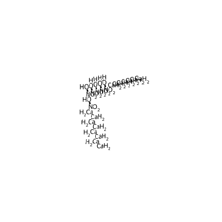 O=[N+]([O-])O.O=[N+]([O-])O.O=[N+]([O-])O.O=[N+]([O-])O.O=[N+]([O-])O.O=[N+]([O-])O.[CaH2].[CaH2].[CaH2].[CaH2].[CaH2].[CaH2].[CaH2].[CaH2].[CaH2].[CaH2].[CaH2].[CaH2].[CaH2].[CaH2].[CaH2]